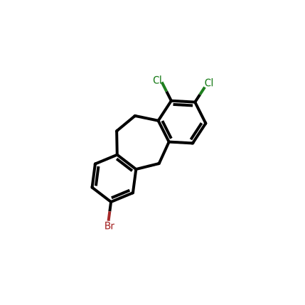 Clc1ccc2c(c1Cl)CCc1ccc(Br)cc1C2